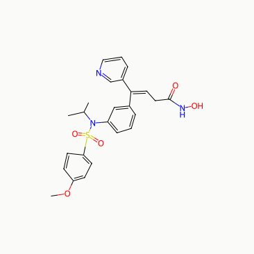 COc1ccc(S(=O)(=O)N(c2cccc(/C(=C\CC(=O)NO)c3cccnc3)c2)C(C)C)cc1